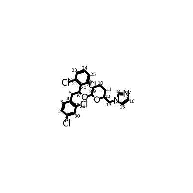 Clc1ccc(CC(OC2CCCC(Cn3ccnc3)O2)c2c(Cl)cccc2Cl)c(Cl)c1